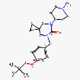 CN1CCC(N2CC3(CC3)CN(Cc3ccc(OCC(C)(C)C)cc3)C2=O)CC1